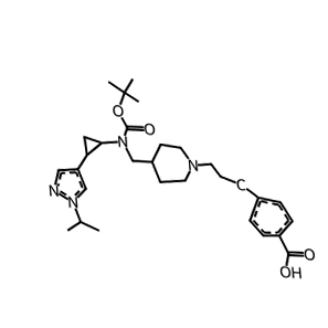 CC(C)n1cc(C2CC2N(CC2CCN(CCCc3ccc(C(=O)O)cc3)CC2)C(=O)OC(C)(C)C)cn1